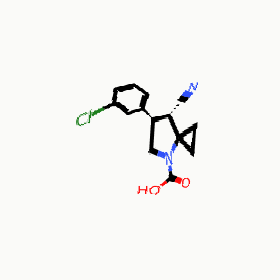 N#C[C@H]1[C@H](c2cccc(Cl)c2)CN(C(=O)O)C12CC2